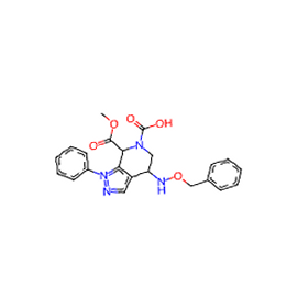 COC(=O)C1c2c(cnn2-c2ccccc2)C(NOCc2ccccc2)CN1C(=O)O